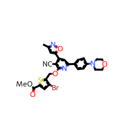 COC(=O)c1cc(Br)c(COc2nc(-c3ccc(N4CCOCC4)cc3)cc(-c3cc(C)no3)c2C#N)s1